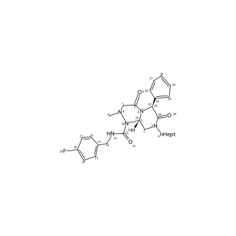 CCCCCCCN1C[C@H]2N(C(=O)CN(C)N2C(=O)NCc2ccc(F)cc2)[C@@H](c2ccccc2)C1=O